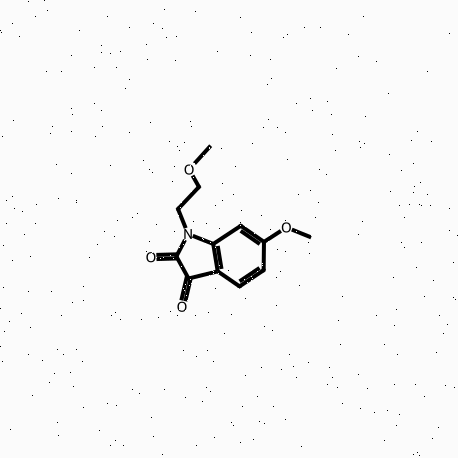 COCCN1C(=O)C(=O)c2ccc(OC)cc21